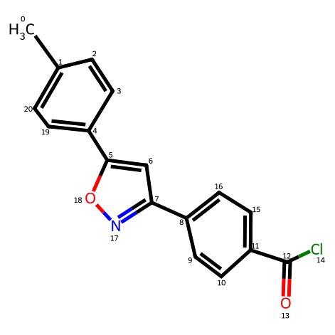 Cc1ccc(-c2cc(-c3ccc(C(=O)Cl)cc3)no2)cc1